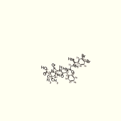 CC1(C)S[C@@H]2C(NC(=O)C(NC(=O)CNC(=N)c3ccc(Br)c(Br)c3)c3ccccc3)C(=O)N2[C@H]1C(=O)O